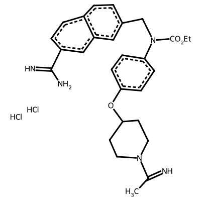 CCOC(=O)N(Cc1ccc2ccc(C(=N)N)cc2c1)c1ccc(OC2CCN(C(C)=N)CC2)cc1.Cl.Cl